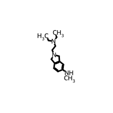 CCN(CC)CCN1Cc2ccc(NC)cc2C1